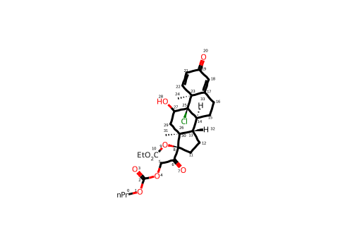 CCCOC(=O)OCC(=O)[C@@]1(OC(=O)OCC)CC[C@H]2[C@@H]3CCC4=CC(=O)C=C[C@]4(C)[C@@]3(Cl)C(O)C[C@@]21C